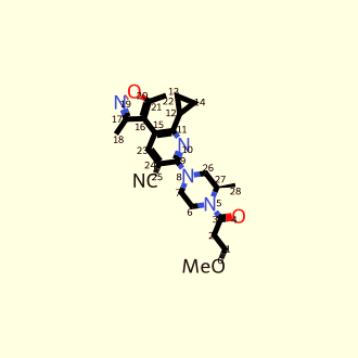 COCCC(=O)N1CCN(c2nc(C3CC3)c(-c3c(C)noc3C)cc2C#N)C[C@H]1C